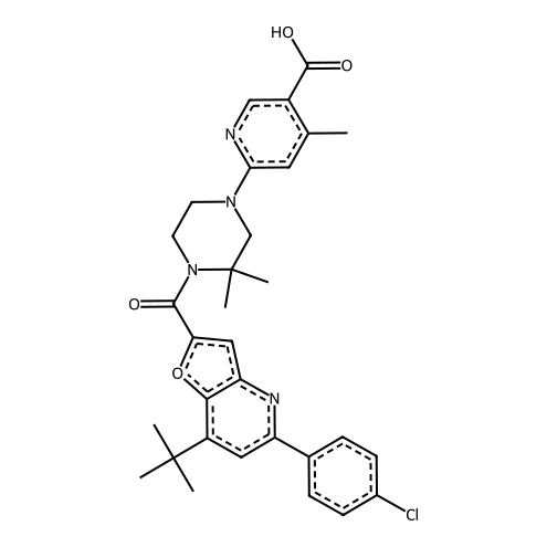 Cc1cc(N2CCN(C(=O)c3cc4nc(-c5ccc(Cl)cc5)cc(C(C)(C)C)c4o3)C(C)(C)C2)ncc1C(=O)O